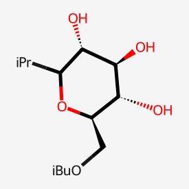 CC(C)COC[C@H]1OC(C(C)C)[C@H](O)[C@@H](O)[C@@H]1O